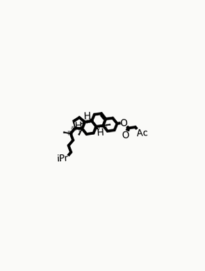 CC(=O)CC(=O)OC1CC[C@@]2(C)C(=CC[C@H]3[C@@H]4CC[C@H]([C@H](C)CCCC(C)C)[C@@]4(C)CC[C@@H]32)C1